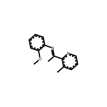 COc1ccccc1N=C(C)c1ncccc1C